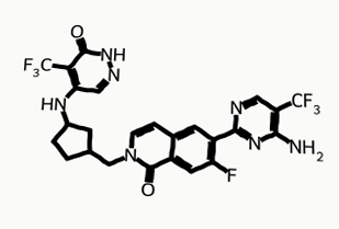 Nc1nc(-c2cc3ccn(CC4CCC(Nc5cn[nH]c(=O)c5C(F)(F)F)C4)c(=O)c3cc2F)ncc1C(F)(F)F